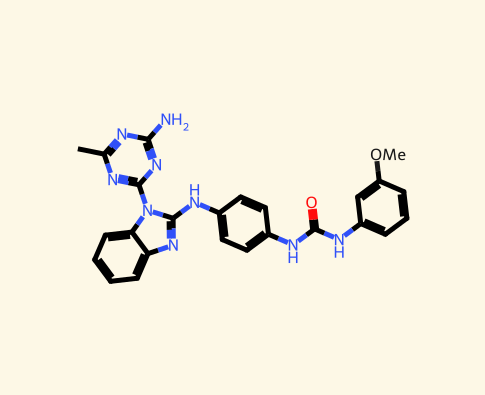 COc1cccc(NC(=O)Nc2ccc(Nc3nc4ccccc4n3-c3nc(C)nc(N)n3)cc2)c1